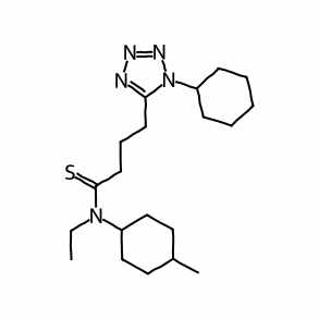 CCN(C(=S)CCCc1nnnn1C1CCCCC1)C1CCC(C)CC1